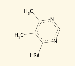 Cc1ncn[c]([RaH])c1C